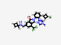 Cn1cn[n+](-c2c(N3Cc4c(cc(CNC5(C)CCC5)cc4C(F)F)C3=O)cccc2[C@H]2C[C@H](F)C2)c1